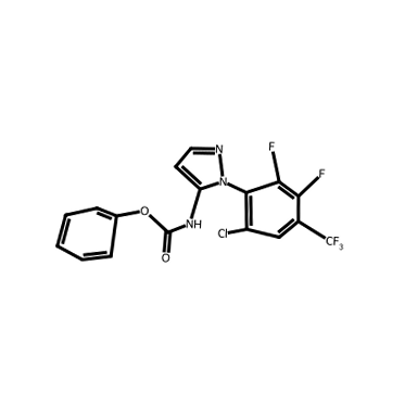 O=C(Nc1ccnn1-c1c(Cl)cc(C(F)(F)F)c(F)c1F)Oc1ccccc1